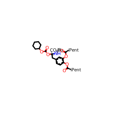 CCCC(C)C(=O)Oc1ccc(C[C@](NC(C)CC)(OC(=O)OC2CCCCC2)C(=O)O)cc1OC(=O)C(C)CCC